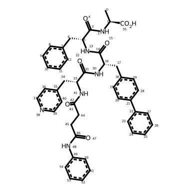 C[C@H](NC(=O)[C@@H](Cc1ccccc1)NC(=O)[C@H](Cc1ccc(-c2ccccc2)cc1)NC(=O)[C@@H](Cc1ccncc1)NC(=O)CCC(=O)Nc1ccccc1)C(=O)O